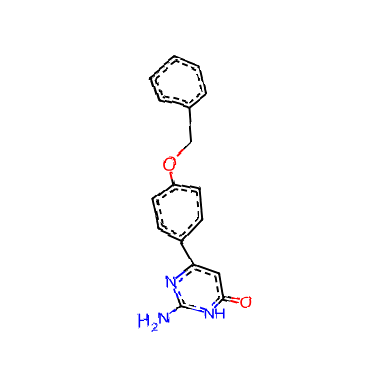 Nc1nc(-c2ccc(OCc3ccccc3)cc2)cc(=O)[nH]1